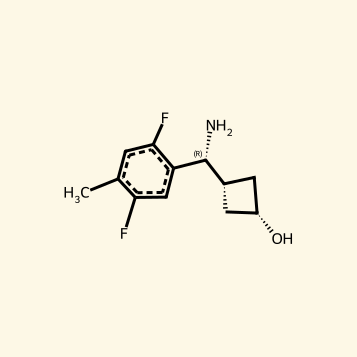 Cc1cc(F)c([C@H](N)[C@H]2C[C@@H](O)C2)cc1F